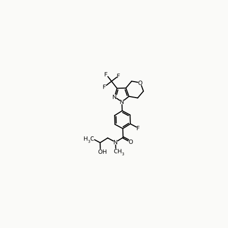 CC(O)CN(C)C(=O)c1ccc(-n2nc(C(F)(F)F)c3c2CCOC3)cc1F